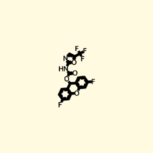 O=C(Nc1ncc(C(F)(F)F)o1)OC1c2ccc(F)cc2Oc2cc(F)ccc21